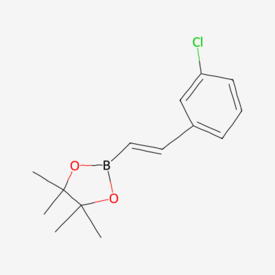 CC1(C)OB(C=Cc2cccc(Cl)c2)OC1(C)C